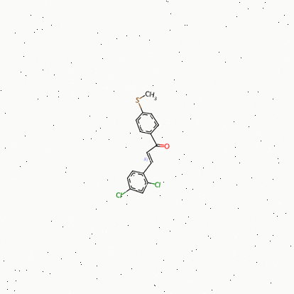 CSc1ccc(C(=O)/C=C/c2ccc(Cl)cc2Cl)cc1